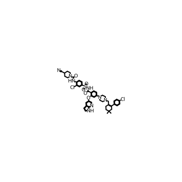 CC1(C)CCC(CN2CCN(c3ccc(C(=O)NS(=O)(=O)c4ccc(NC(=O)N5CCC(C#N)CC5)c(Cl)c4)c(Oc4cnc5[nH]ccc5c4)c3)CC2)=C(c2ccc(Cl)cc2)C1